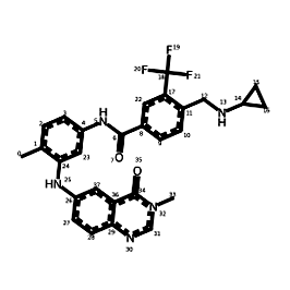 Cc1ccc(NC(=O)c2ccc(CNC3CC3)c(C(F)(F)F)c2)cc1Nc1ccc2ncn(C)c(=O)c2c1